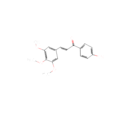 COc1cc(C=CC(=O)c2ccc(O)cc2)cc(OC)c1OC